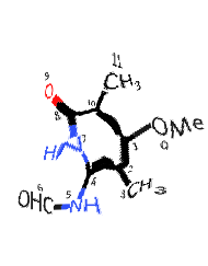 COc1c(C)c(NC=O)[nH]c(=O)c1C